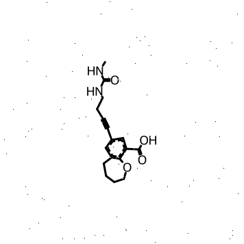 CNC(=O)NCCC#Cc1cc2c(c(C(=O)O)c1)OCCCC2